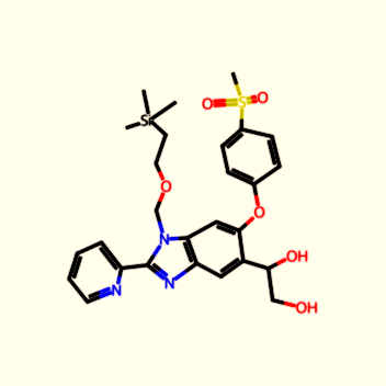 C[Si](C)(C)CCOCn1c(-c2ccccn2)nc2cc(C(O)CO)c(Oc3ccc(S(C)(=O)=O)cc3)cc21